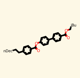 CCCCCCCCCCCCc1ccc(C(=O)Oc2ccc(-c3ccc(C(=O)OCC(C)CC)cc3)cc2)cc1